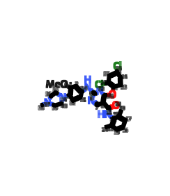 COc1cc(Nc2ncc(C(=O)Nc3c(C)cccc3C)c(Oc3ccc(Cl)cc3Cl)n2)ccc1N1CCN(C)CC1